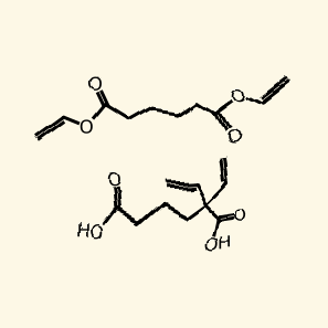 C=CC(C=C)(CCCC(=O)O)C(=O)O.C=COC(=O)CCCCC(=O)OC=C